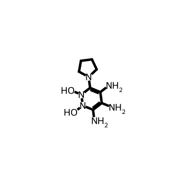 NC1=C(N)N(O)N(O)C(N2CCCC2)=C1N